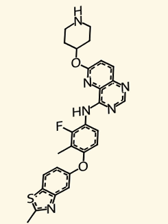 Cc1nc2cc(Oc3ccc(Nc4ncnc5ccc(OC6CCNCC6)nc45)c(F)c3C)ccc2s1